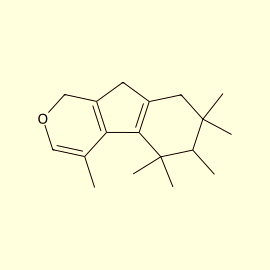 CC1=COCC2=C1C1=C(C2)CC(C)(C)C(C)C1(C)C